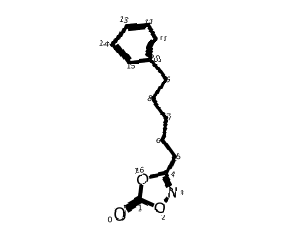 O=c1onc(CCCCCc2ccccc2)o1